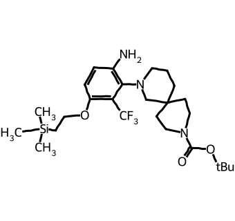 CC(C)(C)OC(=O)N1CCC2(CCCN(c3c(N)ccc(OCC[Si](C)(C)C)c3C(F)(F)F)C2)CC1